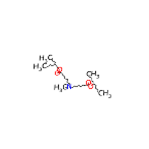 CCCCCC(CCCCC)OC(=O)CCCCCCCN(CC)CCCCCCCC(=O)OCCC(CCCC)CCCC